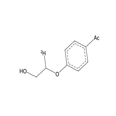 [2H]C(CO)Oc1ccc(C(C)=O)cc1